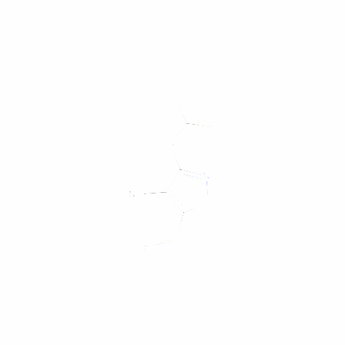 CC(C)(C)Sc1snc(OC(F)F)c1C#N